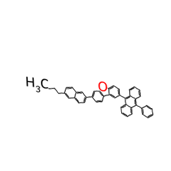 CCCCc1ccc2cc(-c3ccc4c(c3)oc3ccc(-c5c6ccccc6c(-c6ccccc6)c6ccccc56)cc34)ccc2c1